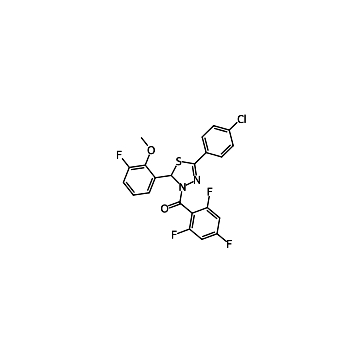 COc1c(F)cccc1C1SC(c2ccc(Cl)cc2)=NN1C(=O)c1c(F)cc(F)cc1F